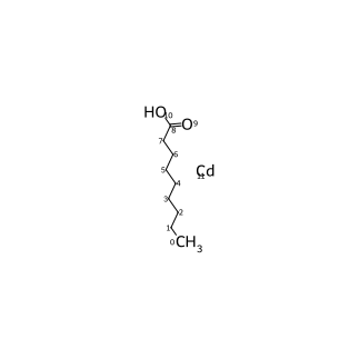 CCCCCCCCC(=O)O.[Cd]